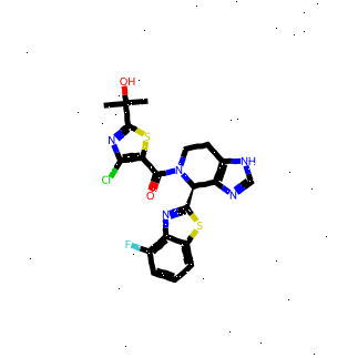 CC(C)(O)c1nc(Cl)c(C(=O)N2CCc3[nH]cnc3[C@H]2c2nc3c(F)cccc3s2)s1